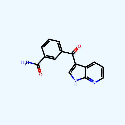 NC(=O)c1cccc(C(=O)c2c[nH]c3ncccc23)c1